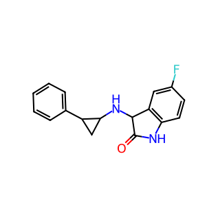 O=C1Nc2ccc(F)cc2C1NC1CC1c1ccccc1